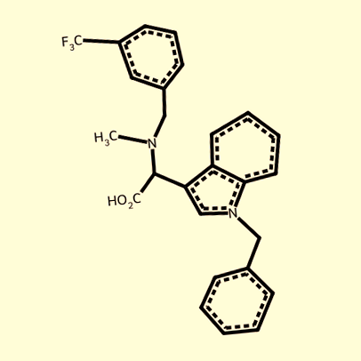 CN(Cc1cccc(C(F)(F)F)c1)C(C(=O)O)c1cn(Cc2ccccc2)c2ccccc12